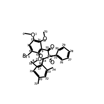 COc1cc(Br)c(OC)c(C(=O)P(=O)(C(=O)c2c(C)cc(C)cc2C)c2ccccc2)c1OC